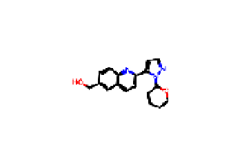 OCc1ccc2nc(-c3ccnn3C3CCCCO3)ccc2c1